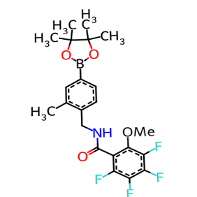 COc1c(F)c(F)c(F)c(F)c1C(=O)NCc1ccc(B2OC(C)(C)C(C)(C)O2)cc1C